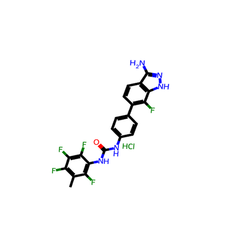 Cc1c(F)c(F)c(F)c(NC(=O)Nc2ccc(-c3ccc4c(N)n[nH]c4c3F)cc2)c1F.Cl